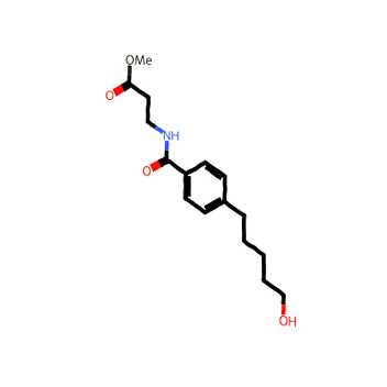 COC(=O)CCNC(=O)c1ccc(CCCCCO)cc1